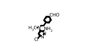 CN(CCc1ccc(C=O)cc1)c1cc(Cl)nnc1N